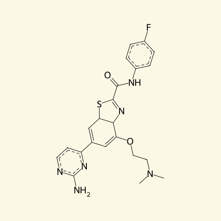 CN(C)CCOC1=CC(c2ccnc(N)n2)=CC2SC(C(=O)Nc3ccc(F)cc3)=NC12